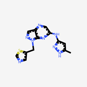 Cc1cc(Nc2cnc3cnn(Cc4cncs4)c3n2)n[nH]1